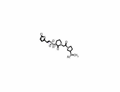 CC(=O)N(C)C1CCN(C(=O)CN2CCC[C@H](NS(=O)(=O)/C=C/c3ccc(Cl)s3)C2=O)C1